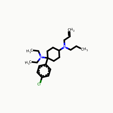 C=CCN(CCC)C1CCC(c2ccc(Cl)cc2)(N(CC)CC)CC1